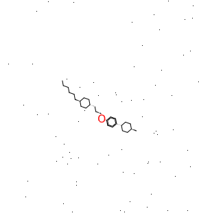 CCCCCC[C@H]1CC[C@H](CCCOc2ccc([C@H]3CC[C@H](C)CC3)cc2)CC1